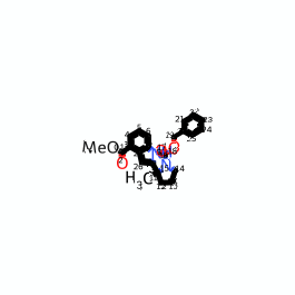 COC(=O)c1cccc2[nH]c(C3(C)CCCN3C(=O)OCc3ccccc3)cc12